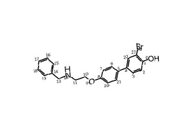 Oc1ccc(-c2ccc(OCCNCc3ccccc3)cc2)cc1Br